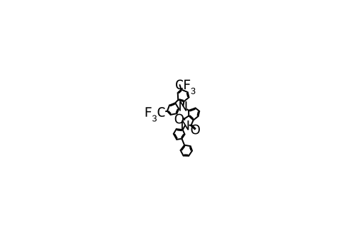 O=C1c2cccc(-n3c4ccc(C(F)(F)F)cc4c4cc(C(F)(F)F)ccc43)c2C(=O)N1c1cccc(-c2ccccc2)c1